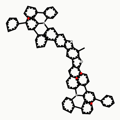 Cc1c2oc3cc4cc(N(c5ccccc5-c5ccccc5)c5ccc(-c6ccccc6)cc5-c5ccccc5)ccc4cc3c2cc2c1oc1cc3cc(N(c4ccccc4-c4ccccc4)c4ccc(-c5ccccc5)cc4-c4ccccc4)ccc3cc12